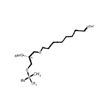 CCCCCCCCCCCCCCCCCCOC[C@H](CO[Si](C)(C)C(C)(C)C)OC